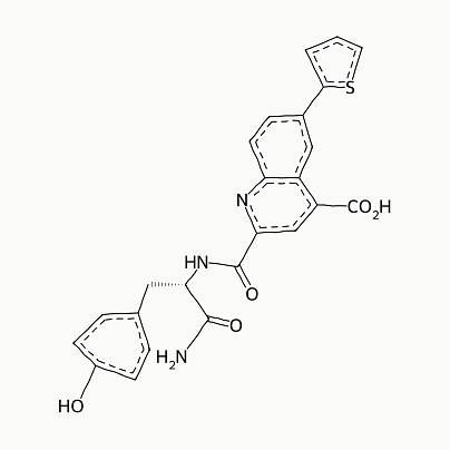 NC(=O)[C@H](Cc1ccc(O)cc1)NC(=O)c1cc(C(=O)O)c2cc(-c3cccs3)ccc2n1